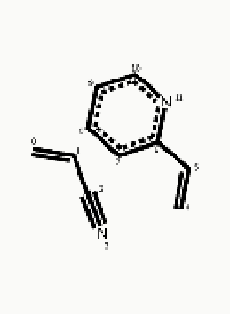 C=CC#N.C=Cc1ccccn1